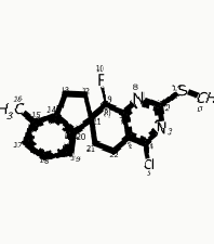 CSc1nc(Cl)c2c(n1)[C@H](F)C1(CCc3c(C)cccc31)CC2